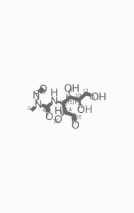 CN(N=O)C(=O)N[C@@H]([C@H](O)[C@H](O)CO)[C@@H](O)C=O